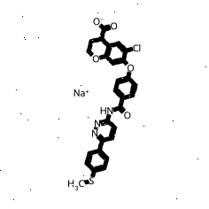 CSc1ccc(-c2ccc(NC(=O)c3ccc(Oc4cc5c(cc4Cl)C(C(=O)[O-])CCO5)cc3)nn2)cc1.[Na+]